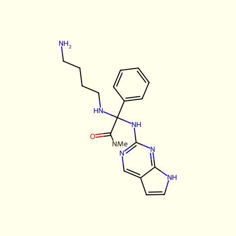 CNC(=O)C(NCCCCN)(Nc1ncc2cc[nH]c2n1)c1ccccc1